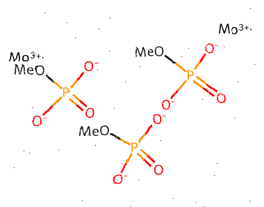 COP(=O)([O-])[O-].COP(=O)([O-])[O-].COP(=O)([O-])[O-].[Mo+3].[Mo+3]